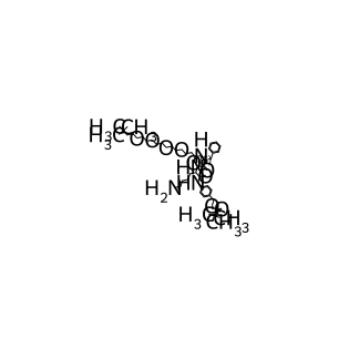 CC(C)(C)CCOCCOCCOCCOCCC(=O)N[C@@H](Cc1ccccc1)C(=O)NC(CCCCN)C(=O)Nc1ccc(COC(=O)C(C)(C)C)cc1